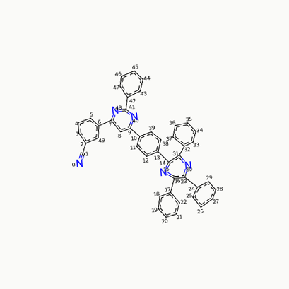 N#Cc1cccc(-c2cc(-c3ccc(-c4nc(-c5ccccc5)c(-c5ccccc5)nc4-c4ccccc4)cc3)nc(-c3ccccc3)n2)c1